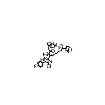 CN(C)CC(=O)N[C@@H](CCCCCC(=O)c1ccon1)c1nc(Cl)c(-c2ccc(F)cc2)[nH]1